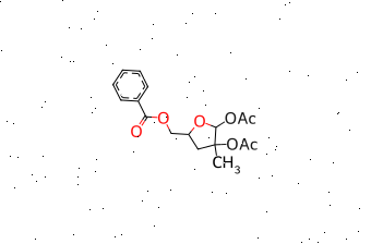 CC(=O)OC1OC(COC(=O)c2ccccc2)CC1(C)OC(C)=O